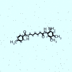 Cc1ccc(C(=O)NCCCCCC(=O)Nc2cc(C)c(C)cc2N)cc1